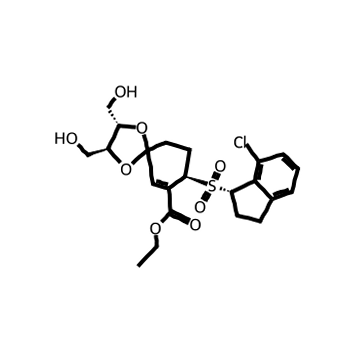 CCOC(=O)C1=CC2(CC[C@H]1S(=O)(=O)[C@H]1CCc3cccc(Cl)c31)O[C@@H](CO)[C@H](CO)O2